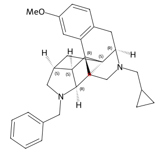 COc1ccc2c(c1)[C@]13CCN(CC4CC4)[C@H](C2)[C@]12CC[C@@H]1[C@H]3[C@@H](CN1Cc1ccccc1)C2